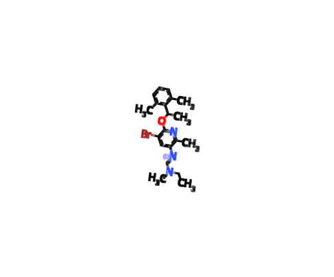 CCN(C)/C=N/c1cc(Br)c(OC(C)c2c(C)cccc2C)nc1C